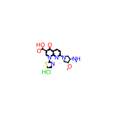 CN[C@@H]1CN(c2ccc3c(=O)c(C(=O)O)cn(-c4nccs4)c3n2)C[C@H]1OC.Cl